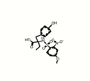 CCC(Cc1ccc(O)cc1)(NS(=O)(=O)c1ccc(OC)cc1[N+](=O)[O-])C(=O)O